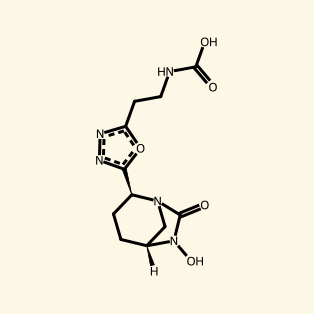 O=C(O)NCCc1nnc([C@@H]2CC[C@@H]3CN2C(=O)N3O)o1